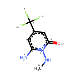 CNn1c(N)cc(C(F)(F)F)cc1=O